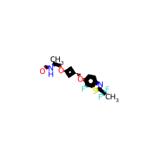 C[C@@H](CO[C@H]1C[C@H](COc2ccc3nc(C(C)(F)F)sc3c2F)C1)NC=O